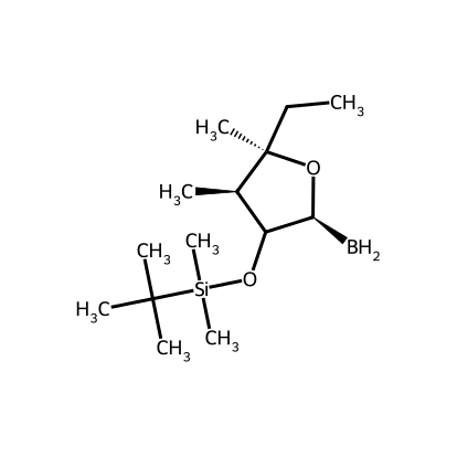 B[C@@H]1O[C@](C)(CC)[C@H](C)C1O[Si](C)(C)C(C)(C)C